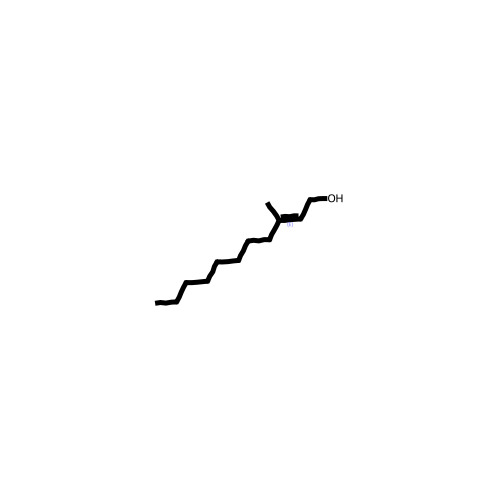 CCCCCCCC/C(C)=C/CO